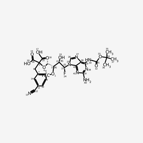 CO[C@H](COC(Cc1cccc(C#N)c1)(C(=O)O)C(=O)O)[C@@H](O)[C@H](F)n1cnc2c(NC(=O)OC(C)(C)C)nc(N)nc21